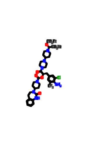 CCOC(=O)OC(C(=O)OCC)N1CCC(N2CCN(C(=O)[C@@H](Cc3cc(Cl)c(N)c(C(F)(F)F)c3)OC(=O)N3CCC(N4CCc5ccccc5NC4=O)CC3)CC2)CC1